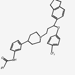 CC(C)C(=O)Nc1cccc(C2CCN(CCC(Oc3ccc(C(F)(F)F)cc3)c3ccc4c(c3)CCC4)CC2)c1